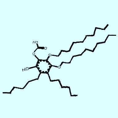 CCCCCCCCCCOc1c(CCCCCC)c(CCCCCC)c(O)c(OC(=O)O)c1OCCCCCCCCCC